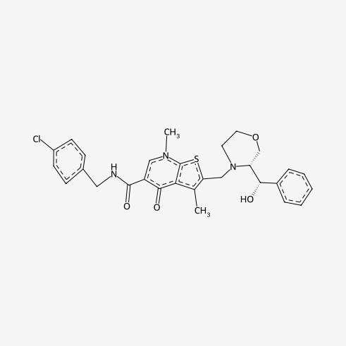 Cc1c(CN2CCOC[C@@H]2[C@@H](O)c2ccccc2)sc2c1c(=O)c(C(=O)NCc1ccc(Cl)cc1)cn2C